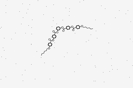 CCCCCCOc1ccc(C(=O)Oc2ccc(C(=O)Oc3cccc(OC(=O)c4ccc(OC(=O)c5ccc(OCCCCCC)cc5)cc4)c3)cc2)cc1